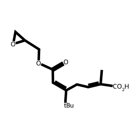 CC(=CCC(=CC(=O)OCC1CO1)C(C)(C)C)C(=O)O